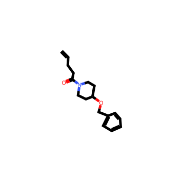 C=CCCC(=O)N1CCC(OCc2ccccc2)CC1